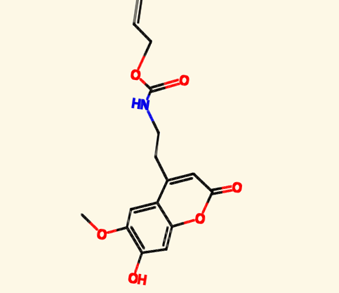 C=CCOC(=O)NCCc1cc(=O)oc2cc(O)c(OC)cc12